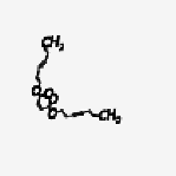 C=CCC#CCCOC(=O)/C=C\C(=O)OCCC#CCC=C